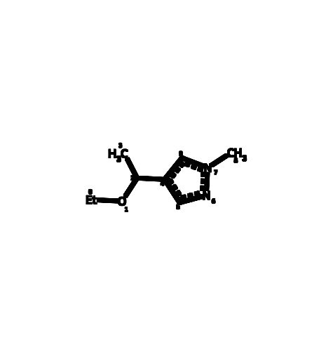 CCOC(C)c1cnn(C)c1